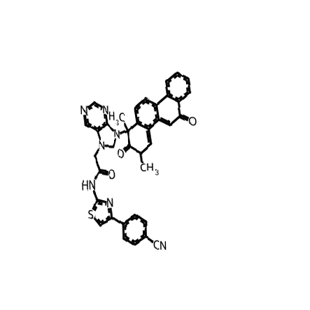 CC1C=c2c(ccc3c2=CC(=O)c2ccccc2-3)C(C)(N2CN(CC(=O)Nc3nc(-c4ccc(C#N)cc4)cs3)c3cncnc32)C1=O